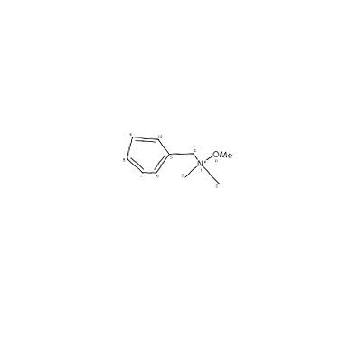 CO[N+](C)(C)Cc1ccccc1